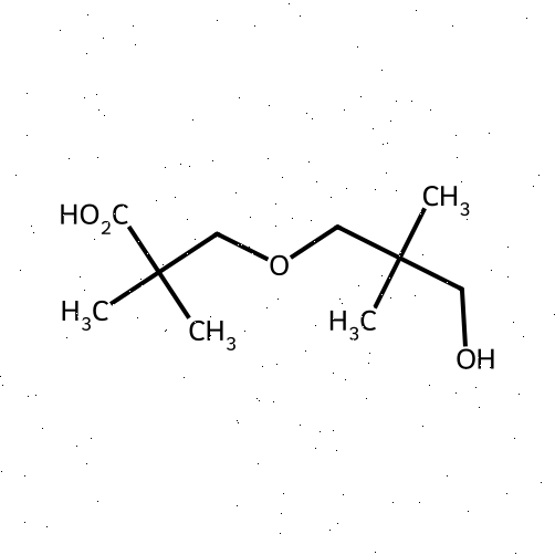 CC(C)(CO)COCC(C)(C)C(=O)O